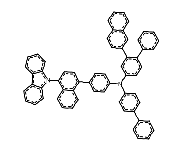 c1ccc(-c2ccc(N(c3ccc(-c4ccc(-n5c6ccccc6c6ccccc65)c5ccccc45)cc3)c3ccc(-c4ccccc4)c(-c4ccc5ccccc5c4)c3)cc2)cc1